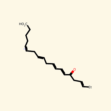 CCC=CCC(=O)C=CC=CCC=CC/C=C\CCCC(=O)O